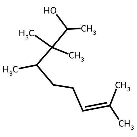 CC(C)=CCCC(C)C(C)(C)C(C)O